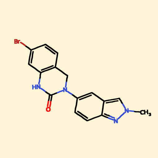 Cn1cc2cc(N3Cc4ccc(Br)cc4NC3=O)ccc2n1